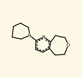 c1cc2c(nc1N1CCCCC1)CCOCC2